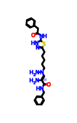 N/C(=C\N(N)CCCCCC1=NNC(NC(=O)Cc2ccccc2)S1)C(=O)NCc1ccccc1